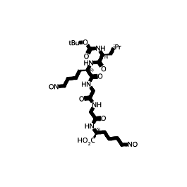 CC(C)C[C@H](NC(=O)OC(C)(C)C)C(=O)N[C@H](CCCCN=O)C(=O)NCC(=O)NCC(=O)N[C@@H](CCCCN=O)C(=O)O